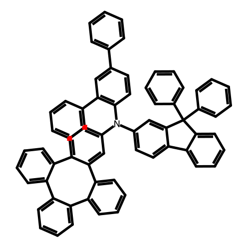 c1ccc(-c2ccc(N(c3ccc4c(c3)-c3ccccc3-c3ccccc3-c3ccccc3-4)c3ccc4c(c3)C(c3ccccc3)(c3ccccc3)c3ccccc3-4)c(-c3ccccc3)c2)cc1